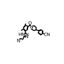 C/N=C\Cc1nnc(-c2cc(C(=O)N3CCC(c4ccc(C#N)cc4)CC3)c(C)cc2C)[nH]1